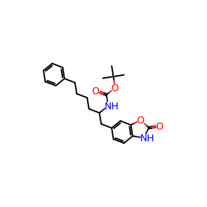 CC(C)(C)OC(=O)NC(CCCCc1ccccc1)Cc1ccc2[nH]c(=O)oc2c1